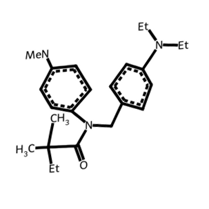 CCN(CC)c1ccc(CN(C(=O)C(C)(C)CC)c2ccc(NC)cc2)cc1